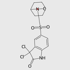 O=C1Nc2ccc(S(=O)(=O)N3CC4CCC(CC4)C3)cc2C1(Cl)Cl